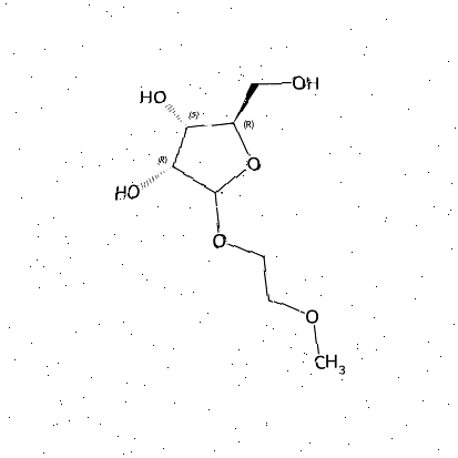 COCCO[C]1O[C@H](CO)[C@@H](O)[C@H]1O